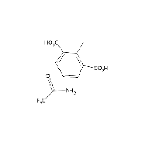 Cc1c(C(=O)O)cccc1C(=O)O.NC(=O)C(F)(F)F